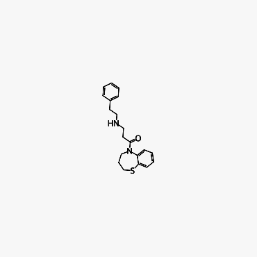 O=C(CCNCCc1ccccc1)N1CCCSc2ccccc21